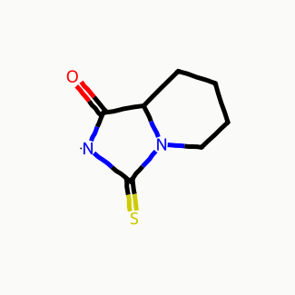 O=C1[N]C(=S)N2CCCCC12